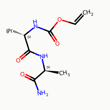 C=COC(=O)N[C@H](C(=O)N[C@@H](C)C(N)=O)C(C)C